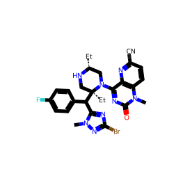 CC[C@@H]1CN(c2nc(=O)n(C)c3ccc(C#N)nc23)[C@@](CC)(C(c2ccc(F)cc2)c2nc(Br)nn2C)CN1